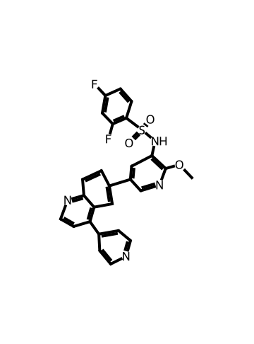 COc1ncc(-c2ccc3nccc(-c4ccncc4)c3c2)cc1NS(=O)(=O)c1ccc(F)cc1F